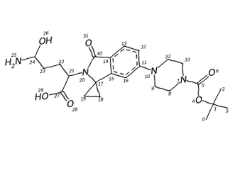 CC(C)(C)OC(=O)N1CCN(c2ccc3c(c2)C2(CC2)N(C(CCC(N)O)C(=O)O)C3=O)CC1